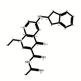 CCn1cc(C(=N)NC(C)=N)c(=O)c2cc(NC3Cc4ccccc4C3)cnc21